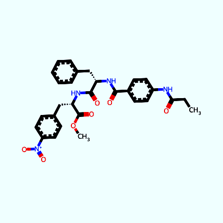 CCC(=O)Nc1ccc(C(=O)N[C@@H](Cc2ccccc2)C(=O)N[C@@H](Cc2ccc([N+](=O)[O-])cc2)C(=O)OC)cc1